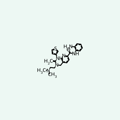 C=C(Nc1ccsc1)N(CCN(C)C)Cc1ccc(C(=O)Nc2ccccc2N)nc1